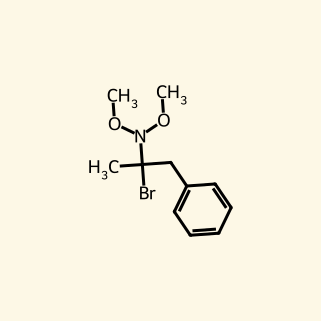 CON(OC)C(C)(Br)Cc1ccccc1